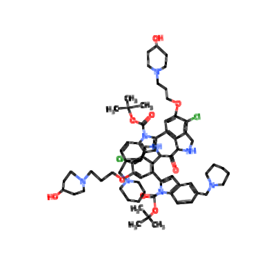 CC(C)(C)OC(=O)n1c(-c2cc(OCCCN3CCC(O)CC3)c(Cl)c3c2C(C(=O)C2NCc4c(Cl)c(OCCCN5CCC(O)CC5)cc(-c5cc6cc(CN7CCCCC7)ccc6n5C(=O)OC(C)(C)C)c42)NC3)cc2cc(CN3CCCCC3)ccc21